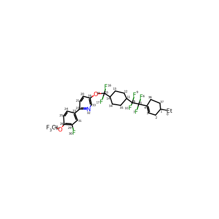 CCC1CC=C(C(F)(F)C(F)(F)C2CCC(C(F)(F)Oc3ccc(-c4ccc(OC(F)(F)F)c(F)c4)nc3)CC2)CC1